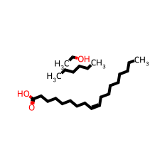 CCCCCC.CCCCCCCC/C=C\CCCCCCCC(=O)O.CCO